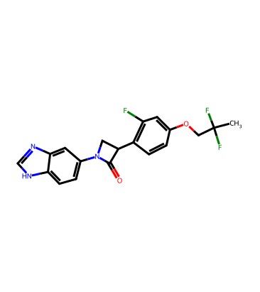 CC(F)(F)COc1ccc(C2CN(c3ccc4[nH]cnc4c3)C2=O)c(F)c1